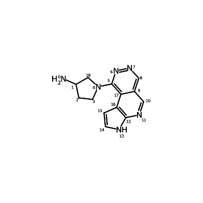 NC1CCN(c2nncc3cnc4[nH]ccc4c23)C1